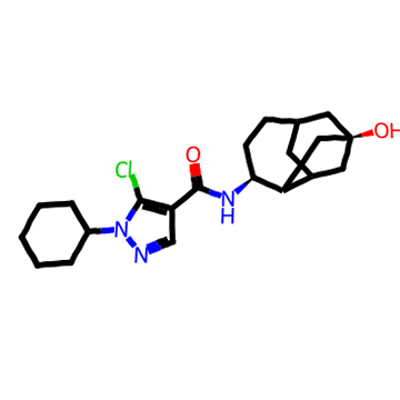 O=C(N[C@H]1CCC2CC3C[C@@](O)(C2)CC31)c1cnn(C2CCCCC2)c1Cl